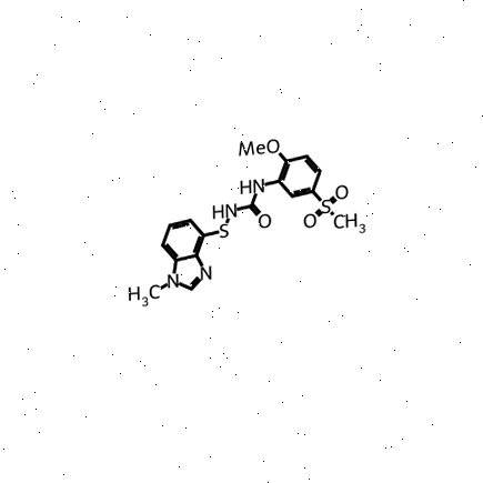 COc1ccc(S(C)(=O)=O)cc1NC(=O)NSc1cccc2c1ncn2C